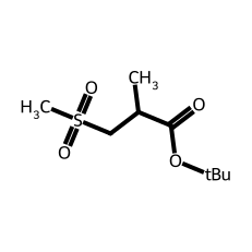 CC(CS(C)(=O)=O)C(=O)OC(C)(C)C